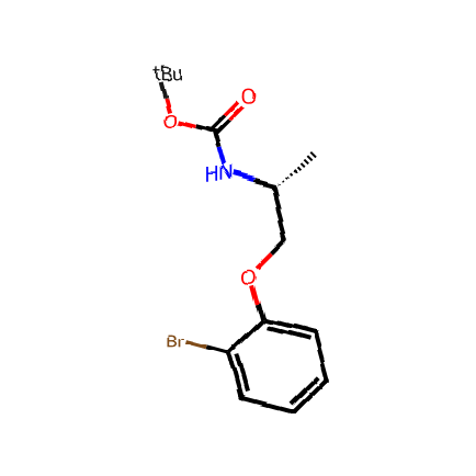 C[C@H](COc1ccccc1Br)NC(=O)OC(C)(C)C